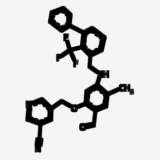 Cc1cc(C=O)c(OCc2cncc(C#N)c2)cc1NCc1cccc(-c2ccccc2)c1C(F)(F)F